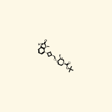 Cn1c(=O)[nH]c2cccc([C@H]3C[C@H](CO[C@H]4CCN(C(=O)OC(C)(C)C)C[C@@H]4F)C3)c21